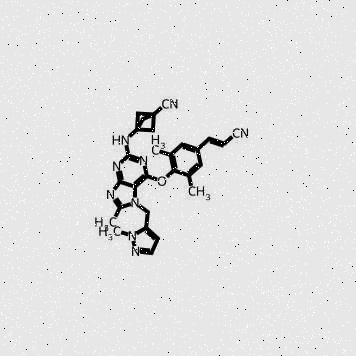 Cc1cc(/C=C/C#N)cc(C)c1Oc1nc(NC23CC(C#N)(C2)C3)nc2nc(C)n(Cc3ccnn3C)c12